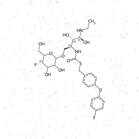 CCN[C@@H](O)[C@@H](O)[C@H](COC1OC(CO)[C@@H](F)C(O)C1O)NC(=O)SCc1ccc(Oc2ccc(F)cc2)cc1